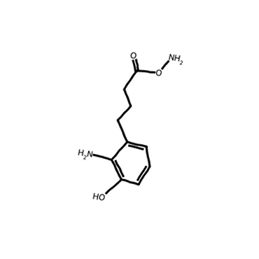 NOC(=O)CCCc1cccc(O)c1N